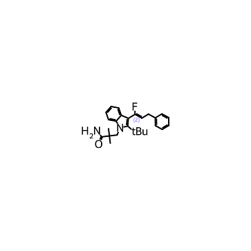 CC(C)(Cn1c(C(C)(C)C)c(/C(F)=C/Cc2ccccc2)c2ccccc21)C(N)=O